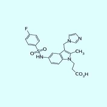 Cc1c(Cn2ccnc2)c2cc(NS(=O)(=O)c3ccc(F)cc3)ccc2n1CCC(=O)O